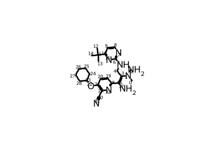 CN(N)/C(CNc1nccc(C(C)(C)C)n1)=C(\N)c1ccc(OC2CCCCC2)c(C#N)n1